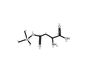 C[Si](C)(C)OC(=O)CC(N)C(=O)O